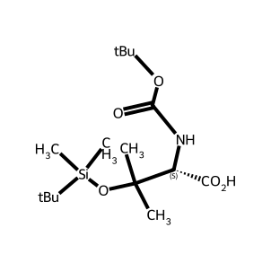 CC(C)(C)OC(=O)N[C@H](C(=O)O)C(C)(C)O[Si](C)(C)C(C)(C)C